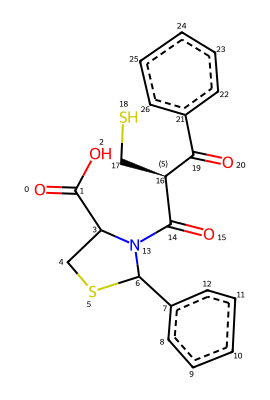 O=C(O)C1CSC(c2ccccc2)N1C(=O)[C@@H](CS)C(=O)c1ccccc1